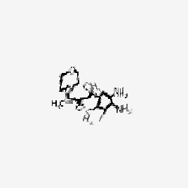 Cc1c(N(C)C(=O)[C@H](C)N2CCOCC2)cc(N)c(N)c1F